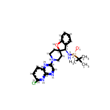 CC(C)(C)[S@@+]([O-])N[C@@H]1c2ccccc2OC12CCN(c1cnc3nc(Cl)ccc3n1)CC2